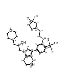 OC(CN1CCOCC1)Cn1nc(-c2ccc(C(F)(F)F)c(SCCN3CCC(F)(F)C3)c2)c2c1CCNC2